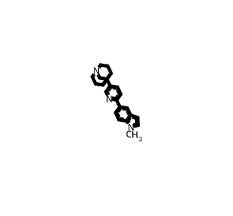 Cn1ccc2cc(-c3ccc(C45CCCN(CCC4)C5)cn3)ccc21